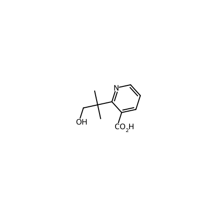 CC(C)(CO)c1ncccc1C(=O)O